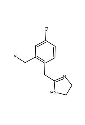 FCc1cc(Cl)ccc1CC1=NCCN1